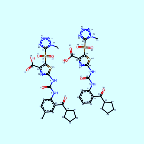 Cc1ccc(NC(=O)Nc2nc(C(=O)O)c(S(=O)(=O)c3nnnn3C)s2)c(C(=O)C2CCCC2)c1.Cn1nnnc1S(=O)(=O)c1sc(NC(=O)Nc2ccccc2C(=O)C2CCCC2)nc1C(=O)O